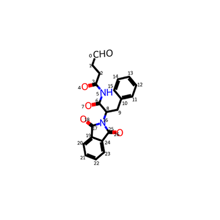 O=CCCC(=O)NC(=O)C(Cc1ccccc1)N1C(=O)c2ccccc2C1=O